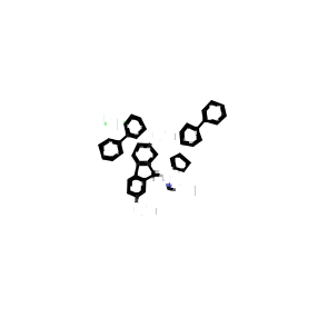 C/[CH]=[Zr+2](\[C]1=CC=CC1)[CH]1c2cc(C(C)(C)C)ccc2-c2ccc(C(C)(C)C)cc21.[Cl-].[Cl-].c1ccc(-c2ccccc2)cc1.c1ccc(-c2ccccc2)cc1